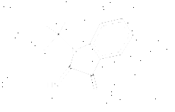 N=C1C(=O)c2ccccc2N1C(F)(F)F